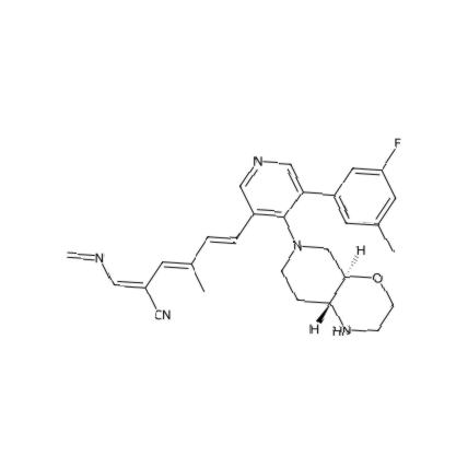 C=N\C=C(C#N)/C=C(C)/C=C/c1cncc(-c2cc(C)cc(F)c2)c1N1CC[C@H]2NCCO[C@@H]2C1